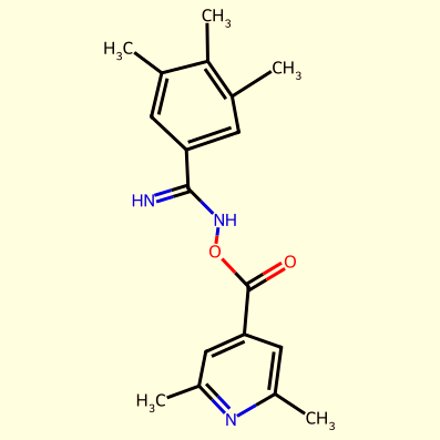 Cc1cc(C(=O)ONC(=N)c2cc(C)c(C)c(C)c2)cc(C)n1